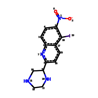 O=[N+]([O-])c1ccc2nc(C3CNCCN3)ccc2c1I